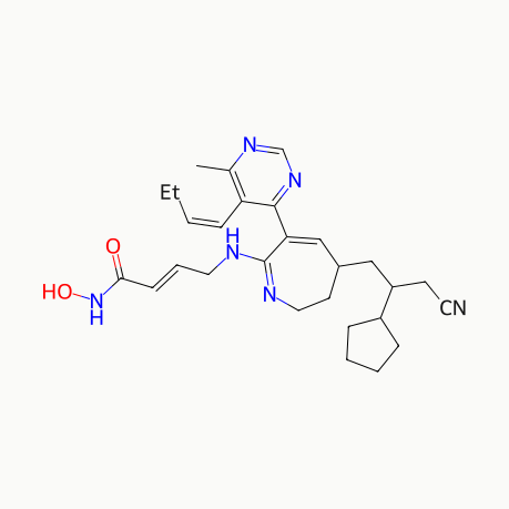 CC/C=C\c1c(C)ncnc1C1=CC(CC(CC#N)C2CCCC2)CCN=C1NC/C=C/C(=O)NO